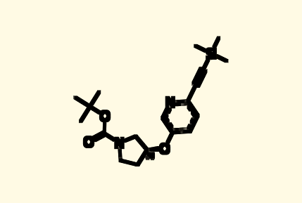 CC(C)(C)OC(=O)N1CC[C@H](Oc2ccc(C#C[Si](C)(C)C)nc2)C1